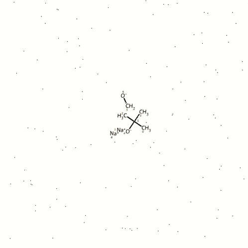 CC(C)(C)[O-].C[O-].[Na+].[Na+]